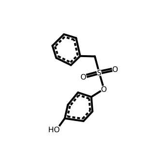 O=S(=O)(Cc1ccccc1)Oc1ccc(O)cc1